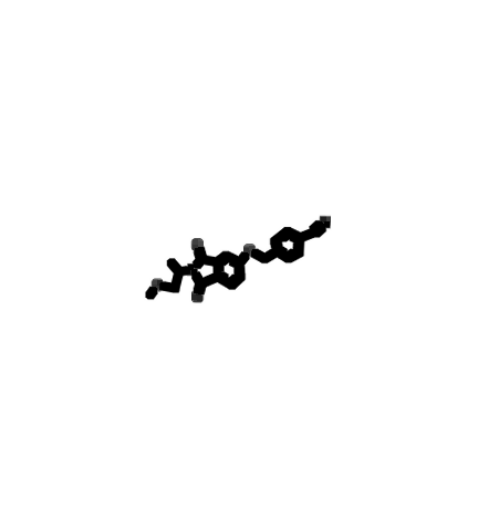 COCC(C)N1C(=O)c2ccc(OCc3ccc(C#N)cc3)cc2C1=O